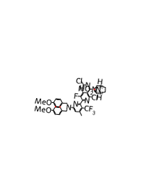 COc1ccc(CN(Cc2ccc(OC)cc2)c2cc(C)c(C(F)(F)F)c(-c3nc(Cl)c4c(N5C[C@H]6CC[C@@H](C5)N6C(=O)O)nc(Cl)nc4c3F)n2)cc1